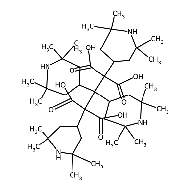 CC1(C)CC(C(C(=O)O)(C(=O)O)C(C2CC(C)(C)NC(C)(C)C2)(C2CC(C)(C)NC(C)(C)C2)C(C(=O)O)(C(=O)O)C2CC(C)(C)NC(C)(C)C2)CC(C)(C)N1